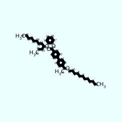 CCCCCCCCCCCCOC(C)c1ccc(-c2ccc(C(=O)Oc3ccccc3OC(CCC)CCCCCCCC)cc2)cc1